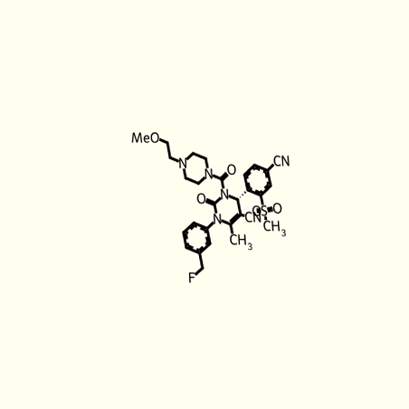 COCCN1CCN(C(=O)N2C(=O)N(c3cccc(CF)c3)C(C)=C(C#N)[C@H]2c2ccc(C#N)cc2S(C)(=O)=O)CC1